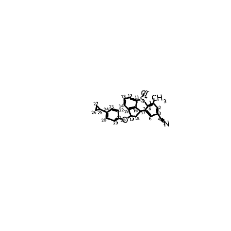 Cc1cc(C#N)cc2c1[S+]([O-])c1cccc3c1C2CC3Oc1ccc(C2CC2)cc1